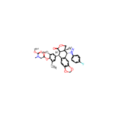 COc1cc([C@@H]2c3cc4c(cc3[C@@H](Nc3ccc(F)cc3)[C@H]3COC(=O)[C@H]23)OCO4)cc(OC)c1OC(=O)CN(C)C(=O)OC(C)(C)C